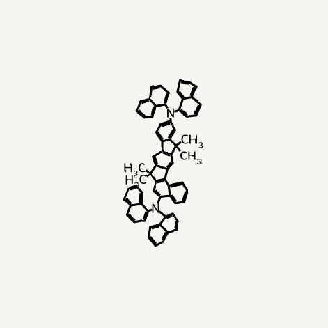 CC1(C)c2cc(N(c3cccc4ccccc34)c3cccc4ccccc34)ccc2-c2cc3c(cc21)-c1c(cc(N(c2cccc4ccccc24)c2cccc4ccccc24)c2ccccc12)C3(C)C